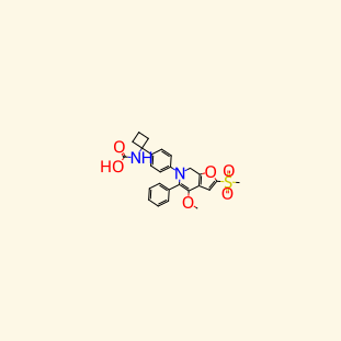 COC1=C(c2ccccc2)N(c2ccc(C3(NC(=O)O)CCC3)cc2)Cc2oc(S(C)(=O)=O)cc21